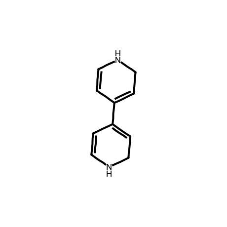 C1=CC(C2=CCNC=C2)=CCN1